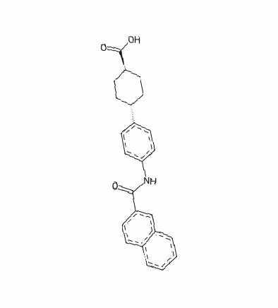 O=C(Nc1ccc([C@H]2CC[C@H](C(=O)O)CC2)cc1)c1ccc2ccccc2c1